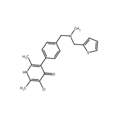 Cc1[nH]c(C)c(-c2ccc(CN(C)Cc3cccs3)cc2)c(=O)c1Cl